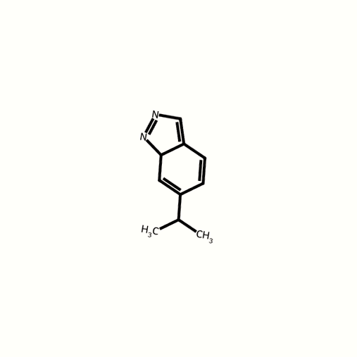 CC(C)C1=CC2N=NC=C2C=C1